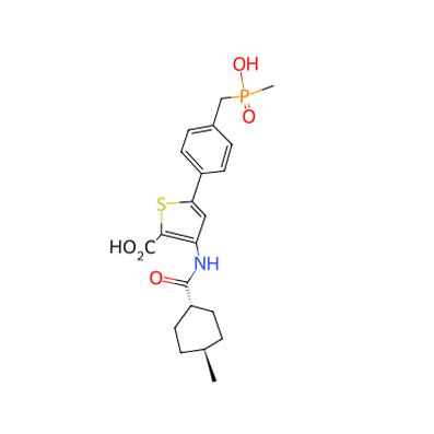 CP(=O)(O)Cc1ccc(-c2cc(NC(=O)[C@H]3CC[C@H](C)CC3)c(C(=O)O)s2)cc1